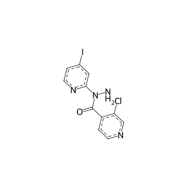 NN(C(=O)c1ccncc1Cl)c1cc(I)ccn1